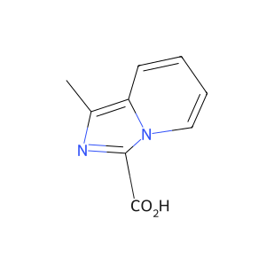 Cc1nc(C(=O)O)n2ccccc12